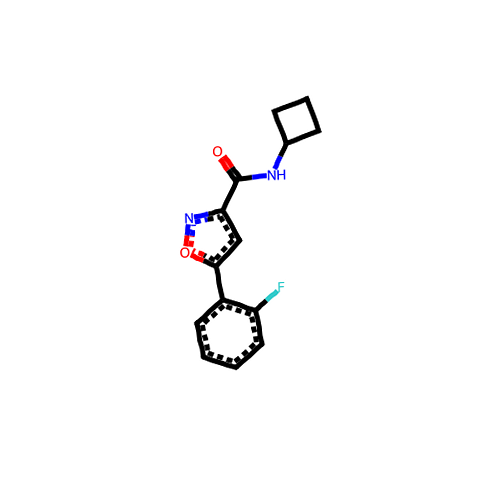 O=C(NC1CCC1)c1cc(-c2ccccc2F)on1